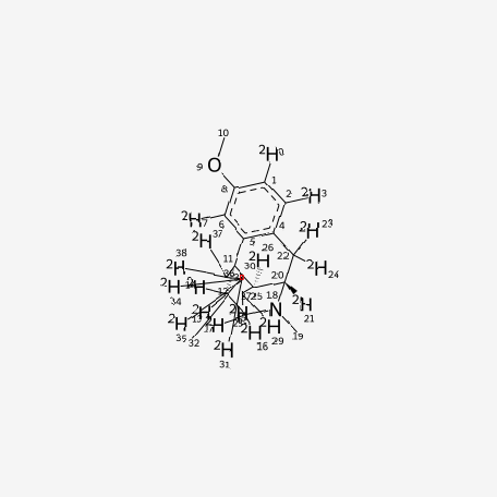 [2H]c1c([2H])c2c(c([2H])c1OC)[C@@]13C([2H])([2H])C([2H])([2H])N(C)[C@@]([2H])(C2([2H])[2H])[C@@]1([2H])C([2H])([2H])C([2H])(C)C([2H])([2H])C3([2H])[2H]